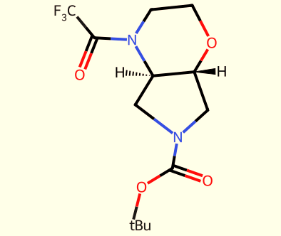 CC(C)(C)OC(=O)N1C[C@@H]2[C@@H](C1)OCCN2C(=O)C(F)(F)F